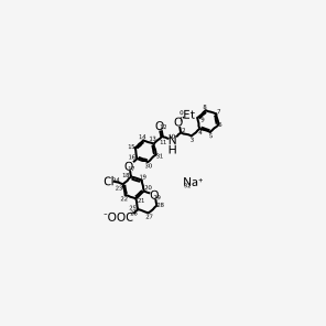 CCOC(Cc1ccccc1)NC(=O)c1ccc(Oc2cc3c(cc2Cl)C(C(=O)[O-])CCO3)cc1.[Na+]